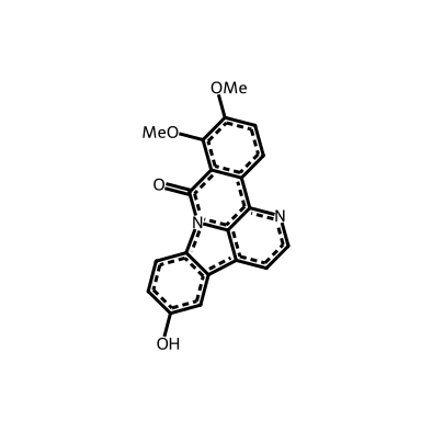 COc1ccc2c(c1OC)c(=O)n1c3ccc(O)cc3c3ccnc2c31